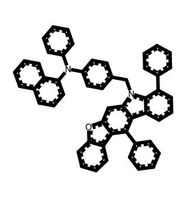 c1ccc(-c2c3c(cc4c2c2cccc(-c5ccccc5)c2n4Cc2ccc(N(c4ccccc4)c4cccc5ccccc45)cc2)oc2ccccc23)cc1